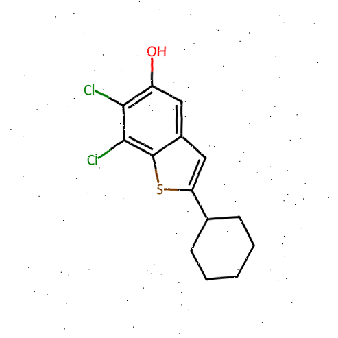 Oc1cc2cc(C3CCCCC3)sc2c(Cl)c1Cl